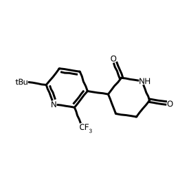 CC(C)(C)c1ccc(C2CCC(=O)NC2=O)c(C(F)(F)F)n1